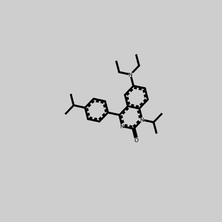 CCN(CC)c1ccc2c(c1)c(-c1ccc(C(C)C)cc1)nc(=O)n2C(C)C